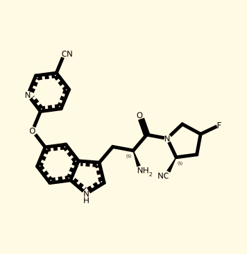 N#Cc1ccc(Oc2ccc3[nH]cc(C[C@H](N)C(=O)N4CC(F)C[C@H]4C#N)c3c2)nc1